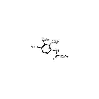 COC(=O)Nc1ccc(OC)c(OC)c1C(=O)O